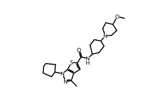 COC1CCN(C2CCC(NC(=O)c3cc4c(C)nn(C5CCCCC5)c4s3)CC2)CC1